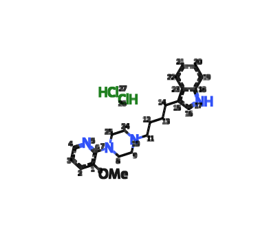 COc1cccnc1N1CCN(CCCCc2c[nH]c3ccccc23)CC1.Cl.Cl